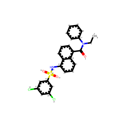 CCN(C(=O)c1cccc2c(NS(=O)(=O)c3cc(Cl)cc(Cl)c3)cccc12)c1ccccc1